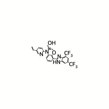 C=Cc1ccc(N2c3cccc(-c4nc5c(C(F)(F)F)cc(C(F)(F)F)cc5[nH]4)c3OC[C@@H]2CO)nc1